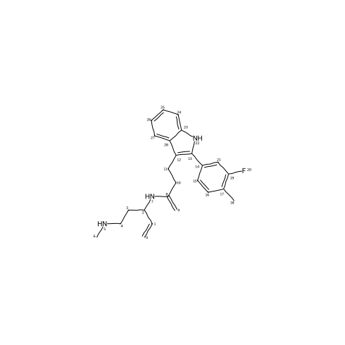 C=CC(CCNC)NC(=C)CCc1c(-c2ccc(C)c(F)c2)[nH]c2ccccc12